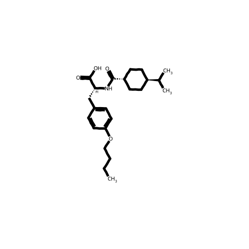 CCCCOc1ccc(C[C@@H](NC(=O)[C@H]2CC[C@H](C(C)C)CC2)C(=O)O)cc1